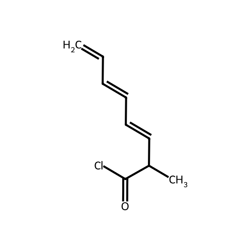 C=CC=CC=CC(C)C(=O)Cl